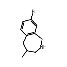 CC1CNSc2cc(Br)ccc2C1